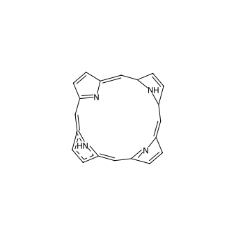 C1=CC2=NC1=CC1C=CC(/C=C3/C=CC(=N3)C=c3ccc([nH]3)=C2)N1